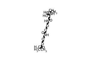 CC(C)(C)N[C@H](CCC(=O)NCCOCCOCC(=O)NCCOCCOCC(=O)C(C)(C)C)C(=O)O